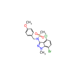 COc1ccc(CN(c2nn(C)c3c(Br)ccc(Cl)c23)S(C)(=O)=O)cc1